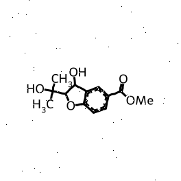 COC(=O)c1ccc2c(c1)C(O)C(C(C)(C)O)O2